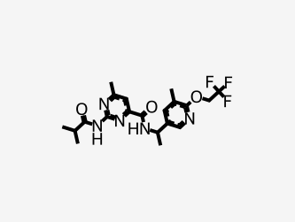 Cc1cc(C(=O)NC(C)c2cnc(OCC(F)(F)F)c(C)c2)nc(NC(=O)C(C)C)n1